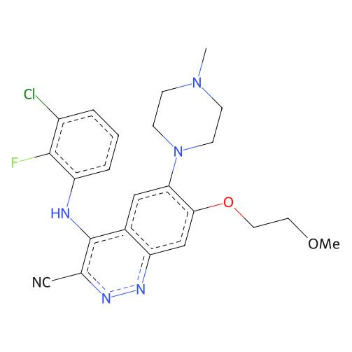 COCCOc1cc2nnc(C#N)c(Nc3cccc(Cl)c3F)c2cc1N1CCN(C)CC1